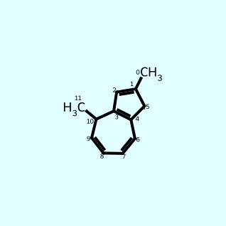 CC1=CC2=C([CH]1)C=CC=CC2C